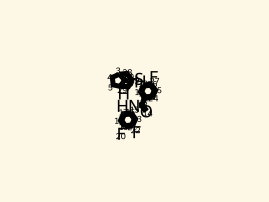 C[C@@]1(O)C2CC[C@H]1C[C@H](Sc1cc(C(=O)Nc3ccc(F)c(F)c3)ccc1F)C2